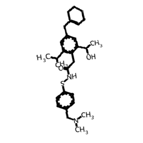 CC(C)c1cc(CC2=CCCCC2)cc(C(C)O)c1CC(=O)NSc1ccc(CN(C)C)cc1